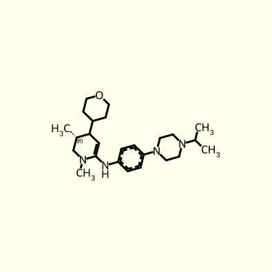 CC(C)N1CCN(c2ccc(NC3=CC(C4CCOCC4)[C@@H](C)CN3C)cc2)CC1